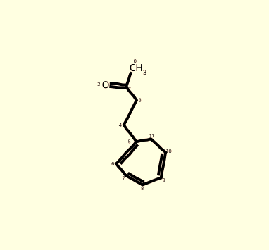 CC(=O)CCC1=CC=CC=CC1